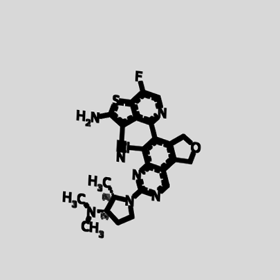 C[C@H]1[C@@H](N(C)C)CCN1c1ncc2c3c(c(-c4ncc(F)c5sc(N)c(C#N)c45)c(Cl)c2n1)COC3